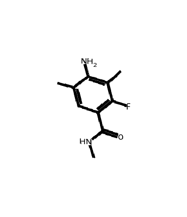 CNC(=O)c1cc(C)c(N)c(C)c1F